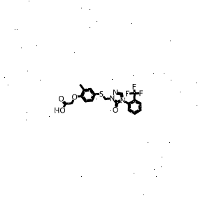 Cc1cc(SCn2ncn(-c3ccccc3C(F)(F)F)c2=O)ccc1OCC(=O)O